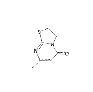 Cc1cc(=O)n2c(n1)SCC2